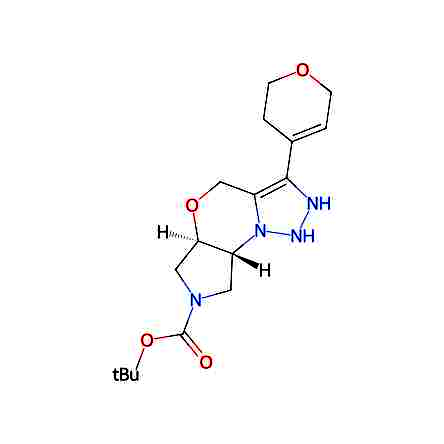 CC(C)(C)OC(=O)N1C[C@@H]2[C@@H](C1)OCC1=C(C3=CCOCC3)NNN12